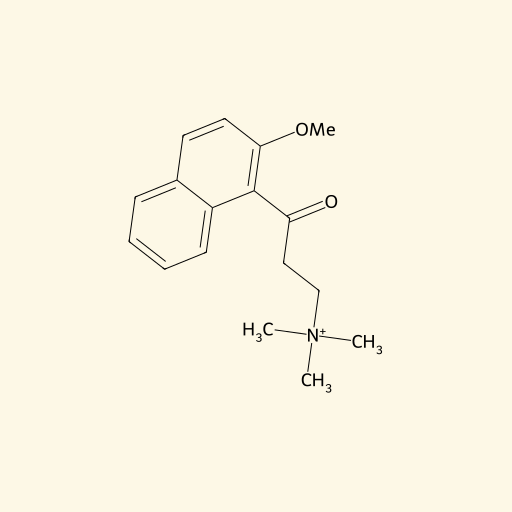 COc1ccc2ccccc2c1C(=O)CC[N+](C)(C)C